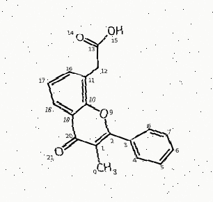 Cc1c(-c2ccccc2)oc2c(CC(=O)O)cccc2c1=O